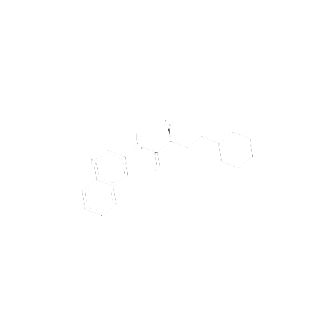 N[C@@H](CCC1CCCCC1)C(=O)Nc1cnc2ccccc2c1